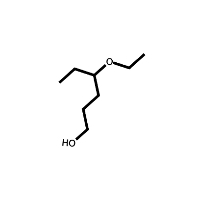 CCOC(CC)CCCO